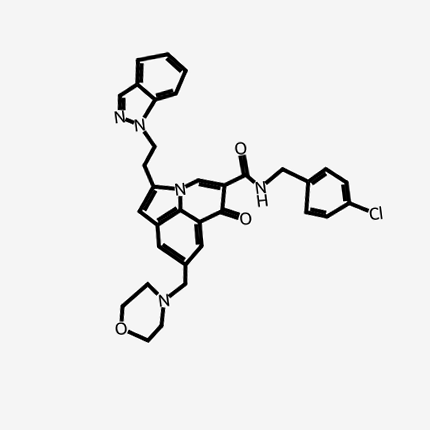 O=C(NCc1ccc(Cl)cc1)c1cn2c(CCn3ncc4ccccc43)cc3cc(CN4CCOCC4)cc(c1=O)c32